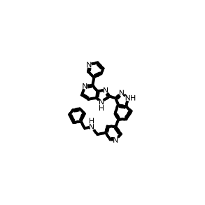 c1ccc(CNCc2cncc(-c3ccc4[nH]nc(-c5nc6c(-c7cccnc7)nccc6[nH]5)c4c3)c2)cc1